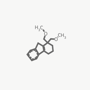 COCC1(COC)CCCC2=C1Cc1ccccc12